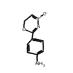 Nc1ccc(C2=N[N+]([O-])=CCO2)cc1